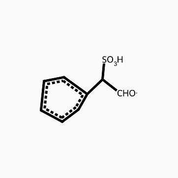 O=[C]C(c1ccccc1)S(=O)(=O)O